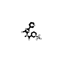 CCS(=O)(=O)N1CCCC(C(=O)N(C)c2sc(-c3cccnc3)nc2Cl)C1